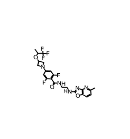 Cc1ccc2oc(NCCNC(=O)c3c(F)cc(N4CC(OC(C)C(F)(F)F)C4)cc3F)nc2n1